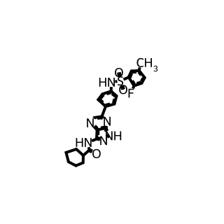 Cc1ccc(F)c(S(=O)(=O)Nc2ccc(-c3cnc4c(NC(=O)C5CCCCC5)n[nH]c4n3)cc2)c1